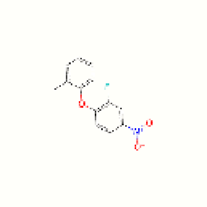 Cc1ccccc1Oc1ccc([N+](=O)[O-])cc1F